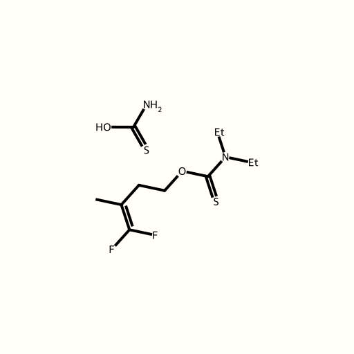 CCN(CC)C(=S)OCCC(C)=C(F)F.NC(O)=S